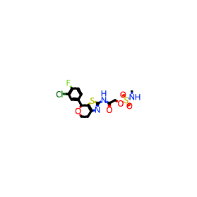 CNS(=O)(=O)OCC(=O)Nc1nc2c(s1)C(c1ccc(F)c(Cl)c1)OCC2